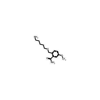 NCCC[CH]COCc1ccc(OC(F)(F)F)cc1C(N)=O